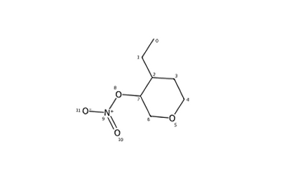 CCC1CCOCC1O[N+](=O)[O-]